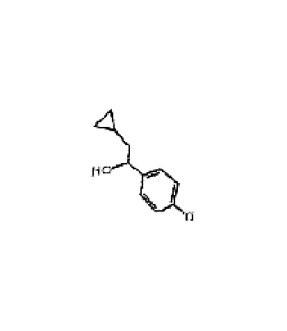 OC(CC1CC1)c1ccc(Cl)cc1